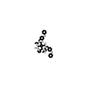 CCCN(Cc1ccc(Oc2ccccc2)cc1)C(=O)C1C(C(=O)O)C(C(OC(C)=O)c2ccco2)C1C(=O)N(CCC)Cc1ccc(Oc2ccccc2)cc1